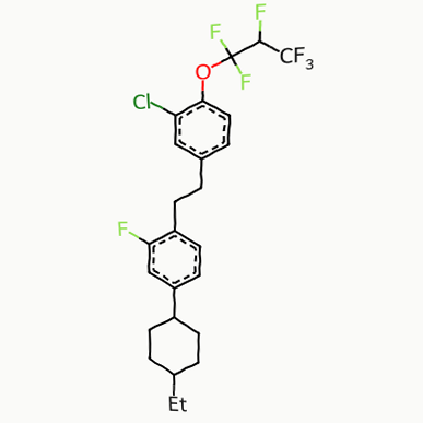 CCC1CCC(c2ccc(CCc3ccc(OC(F)(F)C(F)C(F)(F)F)c(Cl)c3)c(F)c2)CC1